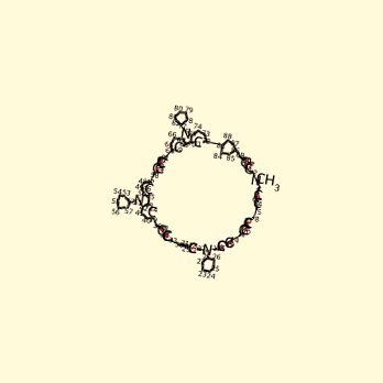 CN1c2ccc(cc2)-c2ccc(cc2)-c2ccc(cc2)N(c2ccccc2)c2ccc(cc2)-c2ccc(cc2)-c2ccc3c(c2)c2cc(ccc2n3-c2ccccc2)-c2ccc(cc2)-c2ccc3c(c2)c2cc(ccc2n3-c2ccccc2)-c2ccc(cc2)-c2ccc1cc2